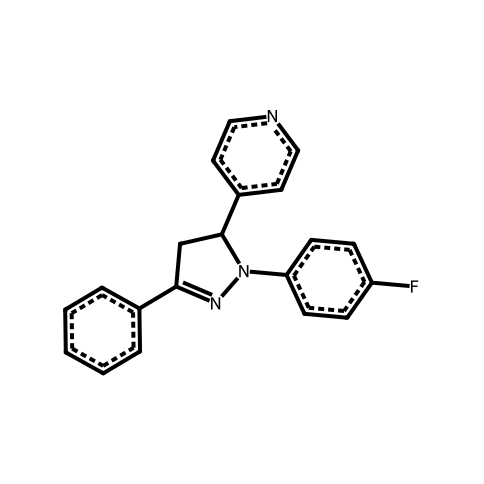 Fc1ccc(N2N=C(c3ccccc3)CC2c2ccncc2)cc1